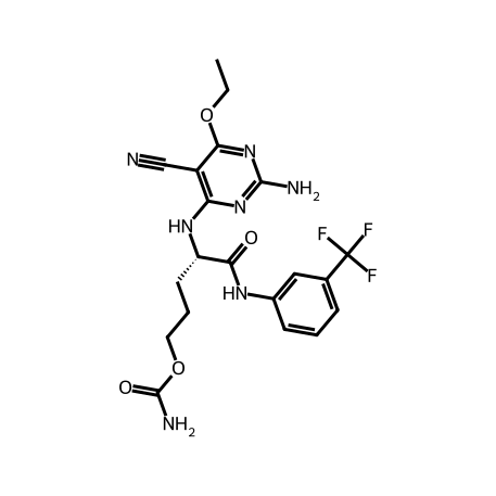 CCOc1nc(N)nc(N[C@@H](CCCOC(N)=O)C(=O)Nc2cccc(C(F)(F)F)c2)c1C#N